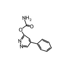 NC(=O)Oc1cc(-c2ccccc2)cnn1